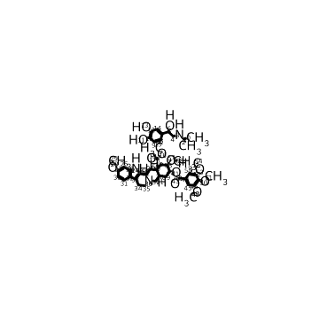 CC(C)NCC(O)c1ccc(O)c(O)c1.COC(=O)[C@H]1[C@H]2C[C@@H]3c4[nH]c5cc(OC)ccc5c4CCN3C[C@H]2C[C@@H](OC(=O)c2cc(OC)c(OC)c(OC)c2)[C@@H]1OC